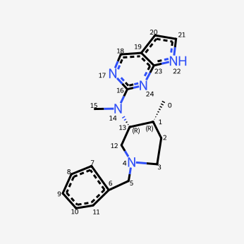 C[C@@H]1CCN(Cc2ccccc2)C[C@@H]1N(C)c1ncc2cc[nH]c2n1